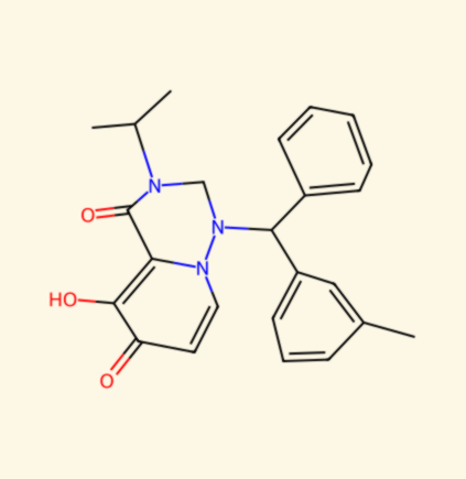 Cc1cccc(C(c2ccccc2)N2CN(C(C)C)C(=O)c3c(O)c(=O)ccn32)c1